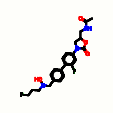 CC(=O)NCC1CN(c2ccc(-c3ccc(CN(O)CCCF)cc3)c(F)c2)C(=O)O1